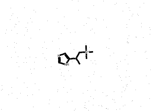 CC(C[N+](C)(C)C)c1cnc[nH]1